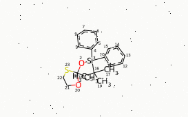 CC1(O[Si](c2ccccc2)(c2ccccc2)C(C)(C)C)OCCS1